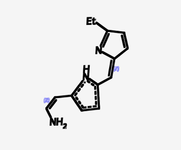 CCC1=N/C(=C\c2ccc(/C=C\N)[nH]2)C=C1